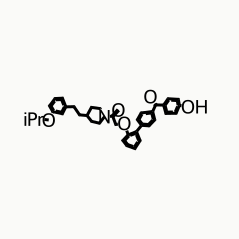 CC(C)Oc1cccc(CCC2CCN(C(=O)COc3ccccc3-c3ccc(C(=O)c4ccc(O)cc4)cc3)CC2)c1